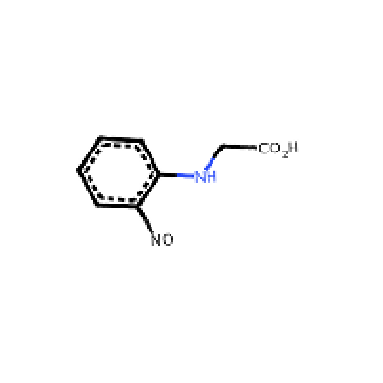 O=Nc1ccccc1NCC(=O)O